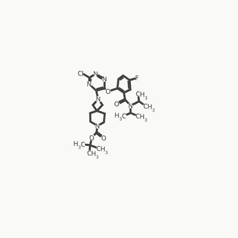 CC(C)N(C(=O)c1cc(F)ccc1Oc1nnc(Cl)nc1N1CC2(CCN(C(=O)OC(C)(C)C)CC2)C1)C(C)C